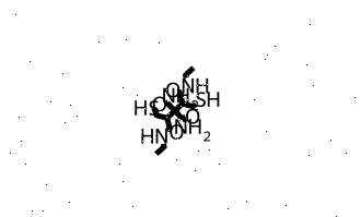 CCNC(=O)C(CS)C(C(N)=O)(C(N)=O)C(CS)C(=O)NCC